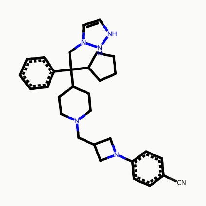 N#Cc1ccc(N2CC(CN3CCC(C(CN4C=CNN4)(c4ccccc4)C4CCCC4)CC3)C2)cc1